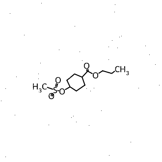 CCCOC(=O)C1CCC(OS(C)(=O)=O)CC1